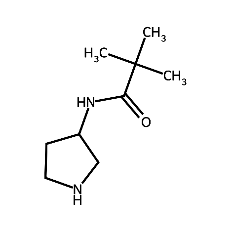 CC(C)(C)C(=O)NC1CCNC1